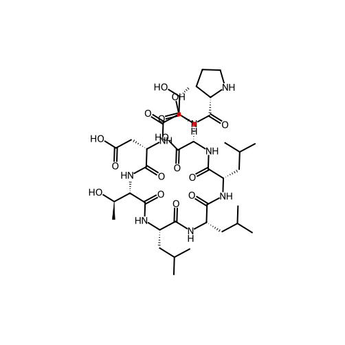 CC(C)C[C@H](NC(=O)[C@H](CC(C)C)NC(=O)[C@H](CC(C)C)NC(=O)[C@@H](NC(=O)[C@H](CC(=O)O)NC(=O)[C@@H](NC(=O)[C@@H]1CCCN1)[C@@H](C)O)[C@@H](C)O)C(=O)N[C@@H](CC(=O)O)C(=O)O